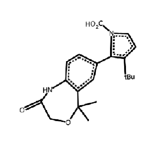 CC(C)(C)c1ccn(C(=O)O)c1-c1ccc2c(c1)C(C)(C)OCC(=O)N2